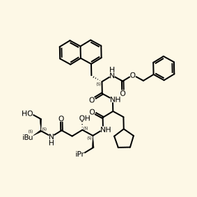 CC[C@H](C)[C@@H](CO)NC(=O)C[C@H](O)[C@H](CC(C)C)NC(=O)C(CC1CCCC1)NC(=O)[C@H](Cc1cccc2ccccc12)NC(=O)OCc1ccccc1